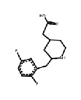 O=C(O)CC1CCNC(Cc2cc(F)ccc2F)C1